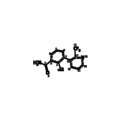 CCc1c(C(N)=O)cccc1-c1cccnc1C(F)(F)F